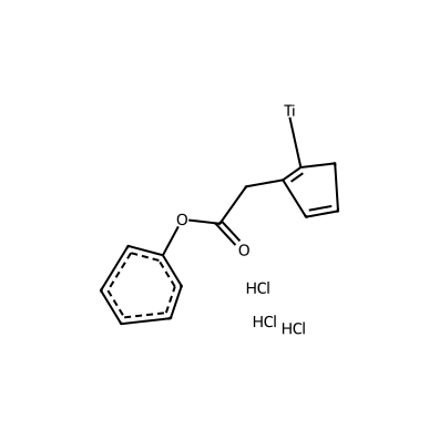 Cl.Cl.Cl.O=C(CC1=[C]([Ti])CC=C1)Oc1ccccc1